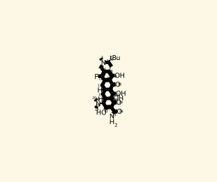 C[C@@H](N(C)Cc1cc(O)c2c(c1F)C[C@H]1C[C@H]3[C@H](N(C)C)C(O)=C(C(N)=O)C(=O)[C@@]3(O)C(O)=C1C2=O)C(C)(C)C